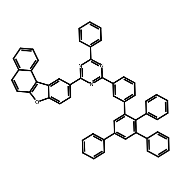 c1ccc(-c2cc(-c3ccccc3)c(-c3ccccc3)c(-c3cccc(-c4nc(-c5ccccc5)nc(-c5ccc6oc7ccc8ccccc8c7c6c5)n4)c3)c2)cc1